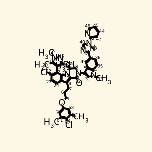 Cc1cc(OCCCc2c3n(c4c(-c5c(C)nn(C)c5C)c(Cl)ccc24)C(C)CN(c2cn(C)c4ccc(-c5ncn(-c6ccccn6)n5)cc24)C3=O)cc(C)c1Cl